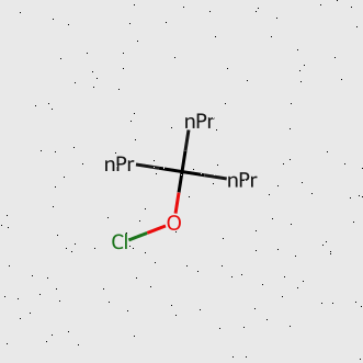 CCCC(CCC)(CCC)OCl